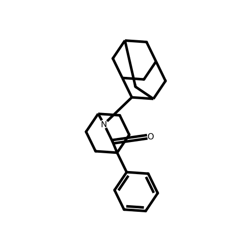 O=C1N(C2C3CC4CC(C3)CC2C4)C2CCC1(c1ccccc1)CC2